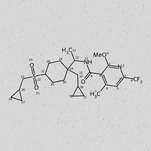 COc1nc(C(F)(F)F)cc(C)c1C(=O)NC(C)C1(CC2CC2)CCC(S(=O)(=O)CC2CC2)CC1